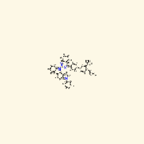 C=Cc1ccc(-c2ccc(-c3nc(-n4c5ccccc5c5ccc6c(ccn6-c6ccccc6)c54)nc4ccccc34)cc2)cc1C=C